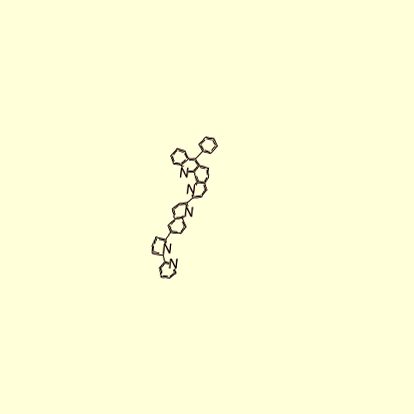 c1ccc(-c2c3ccccc3nc3c2ccc2ccc(-c4ccc5cc(-c6cccc(-c7ccccn7)n6)ccc5n4)nc23)cc1